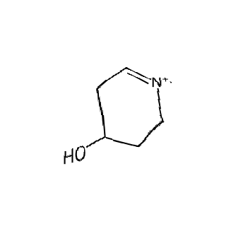 OC1CC=[N+]CC1